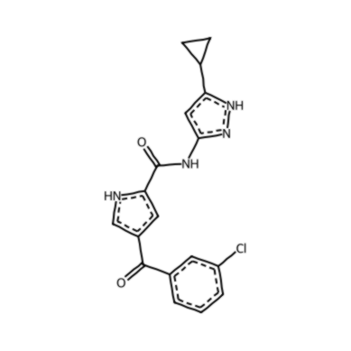 O=C(c1cccc(Cl)c1)c1c[nH]c(C(=O)Nc2cc(C3CC3)[nH]n2)c1